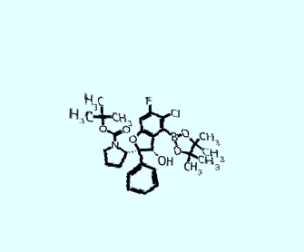 CC(C)(C)OC(=O)N1CCCC1[C@]1(c2ccccc2)Oc2cc(F)c(Cl)c(B3OC(C)(C)C(C)(C)O3)c2[C@@H]1O